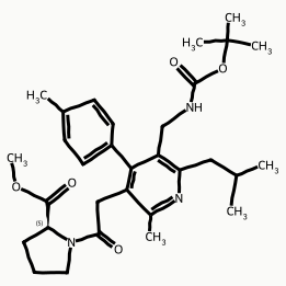 COC(=O)[C@@H]1CCCN1C(=O)Cc1c(C)nc(CC(C)C)c(CNC(=O)OC(C)(C)C)c1-c1ccc(C)cc1